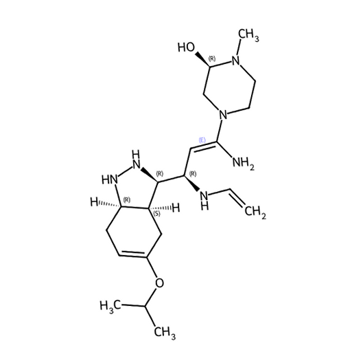 C=CN[C@H](/C=C(\N)N1CCN(C)[C@H](O)C1)[C@@H]1NN[C@@H]2CC=C(OC(C)C)C[C@H]12